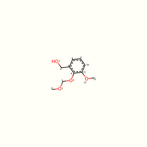 COCOc1c(CO)cccc1OC